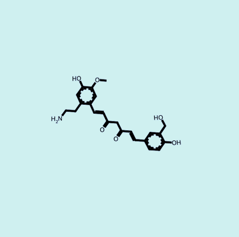 COc1cc(/C=C/C(=O)CC(=O)/C=C/c2ccc(O)c(CO)c2)c(CCN)cc1O